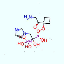 NCC(=O)C1(OO[P@@](O)C(O)(Cn2ccnc2)[PH](O)(O)O)CCC1